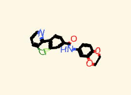 O=C(Nc1ccc2c(c1)OCCO2)c1ccc(-c2ncccc2Cl)c(F)c1